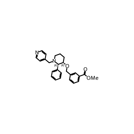 COC(=O)c1cccc(CO[C@@H]2CCCN(Cc3ccncc3)[C@@H]2c2ccccc2)c1